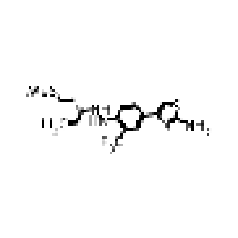 C=C[C@H](CCSC)NNc1ccc(-c2csc(N)n2)cc1C(F)(F)F